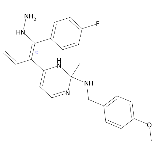 C=C/C(C1=CC=NC(C)(NCc2ccc(OC)cc2)N1)=C(\NN)c1ccc(F)cc1